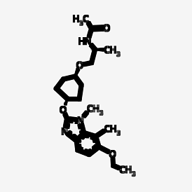 CCOc1ccc2nc(O[C@H]3CC[C@H](OC[C@H](C)NC(C)=O)CC3)n(C)c2c1C